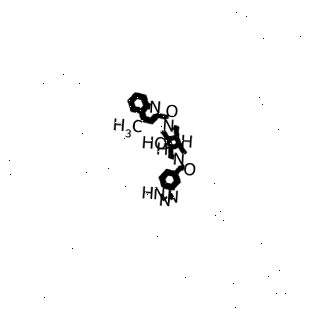 Cc1cc(C(=O)N2CC3[C@H]4CN(C(=O)c5ccc6[nH]nnc6c5)C[C@H]4C3(O)C2)nc2ccccc12